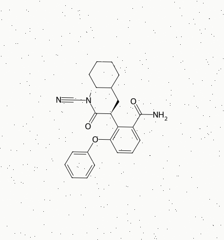 CN(C#N)C(=O)[C@@H](CC1CCCCC1)c1c(Oc2ccccc2)cccc1C(N)=O